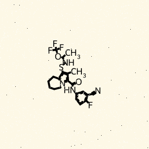 Cc1c(SNC(C)OC(F)(F)F)c2n(c1C(=O)Nc1ccc(F)c(C#N)c1)CCCCC2